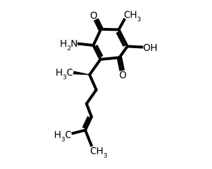 CC(C)=CCC[C@@H](C)C1=C(N)C(=O)C(C)=C(O)C1=O